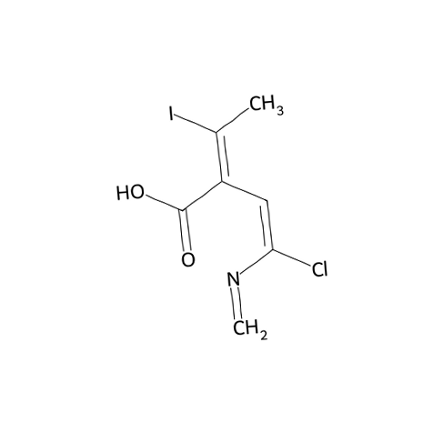 C=N/C(Cl)=C\C(C(=O)O)=C(/C)I